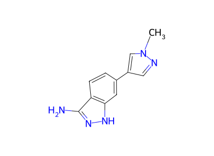 Cn1cc(-c2ccc3c(N)n[nH]c3c2)cn1